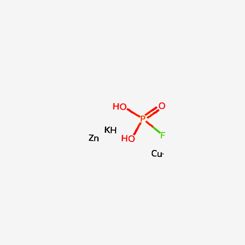 O=P(O)(O)F.[Cu].[KH].[Zn]